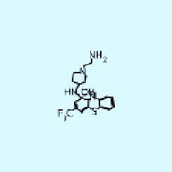 NCCN1CCC(NC2(O)C=C(C(F)(F)F)C=C3Sc4ccccc4N=C32)CC1